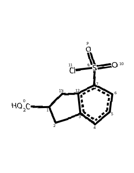 O=C(O)C1Cc2cccc(S(=O)(=O)Cl)c2C1